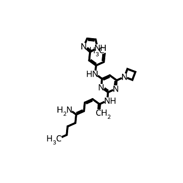 C=C(/C=C\C=C(/N)CCCC)Nc1nc(NC(/C=C\C)=C/c2ncc[nH]2)cc(N2CCC2)n1